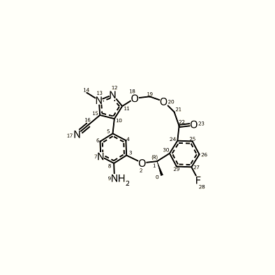 C[C@H]1Oc2cc(cnc2N)-c2c(nn(C)c2C#N)OCOCC(=O)c2ccc(F)cc21